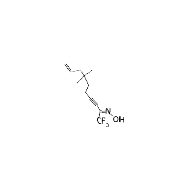 C=CCC(C)(C)CCC#C/C(=N/O)C(F)(F)F